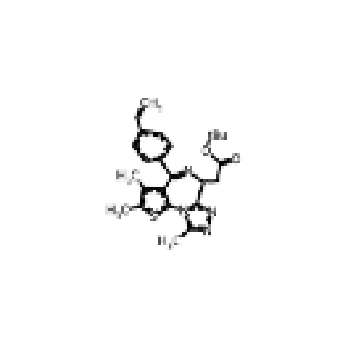 C=Cc1ccc(C2=NC(CC(=O)OC(C)(C)C)c3nnc(C)n3-c3sc(C)c(C)c32)cc1